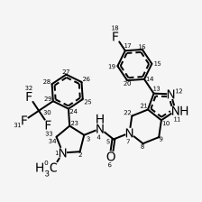 CN1CC(NC(=O)N2CCc3[nH]nc(-c4ccc(F)cc4)c3C2)C(c2ccccc2C(F)(F)F)C1